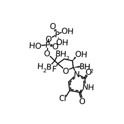 BC(B)(OP(=O)(O)OP(=O)(O)O)[C@]1(F)C[C@@H](O)[C@](B)(n2cc(Cl)c(=O)[nH]c2=O)O1